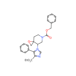 CCOC(=O)c1ncn(C2CN(C(=O)OCc3ccccc3)CCC23CO3)c1-c1ccccc1